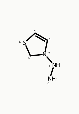 [NH]NN1C=CSC1